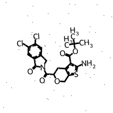 CC(C)(C)OC(=O)c1c(N)sc2c1CC(C(=O)N1Cc3cc(Cl)c(Cl)cc3C1=O)OC2